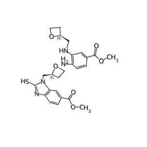 COC(=O)c1ccc(N)c(NC[C@@H]2CCO2)c1.COC(=O)c1ccc2nc(S)n(C[C@@H]3CCO3)c2c1